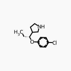 CC[C@@H](Oc1ccc(Cl)cc1)C1CCNC1